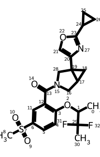 CC(Oc1ccc(S(C)(=O)=O)cc1C(=O)N1CC2CC2(c2coc(C3CC3)n2)C1)C(C)(F)F